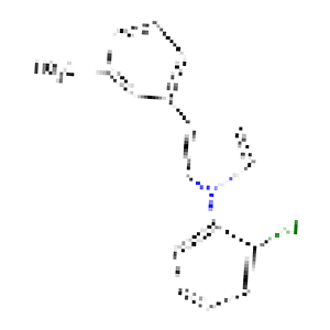 O=C(O)c1cccc(-c2ccn(-c3ccccc3Cl)c2)c1